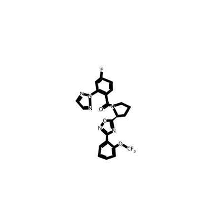 O=C(c1ccc(F)cc1-n1nccn1)N1CCC[C@H]1c1nc(-c2ccccc2OC(F)(F)F)no1